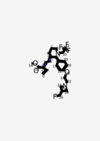 C=C/C(=C\C=C1/CCCN(CC(F)(F)F)C1c1ccc(OCCN2CC(CF)C2)cc1)C(=O)OC